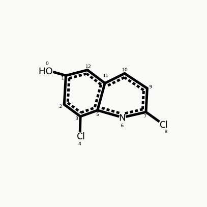 Oc1cc(Cl)c2nc(Cl)ccc2c1